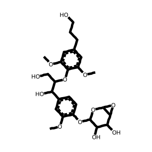 COc1cc(C(O)C(CO)Oc2c(OC)cc(CCCO)cc2OC)ccc1OC1OC2OC2C(O)C1O